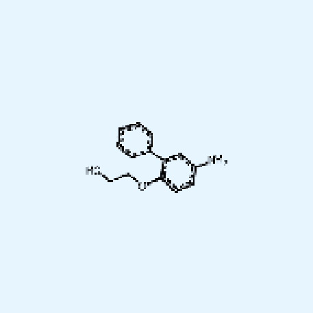 Nc1ccc(OCCO)c(-c2ccccc2)c1